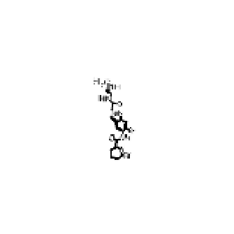 CNCCNC(=O)Cn1cc2cc(NC(=O)c3cccc(Br)n3)c(Br)cc2n1